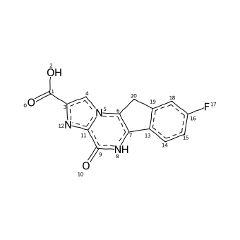 O=C(O)c1cn2c3c([nH]c(=O)c2n1)-c1ccc(F)cc1C3